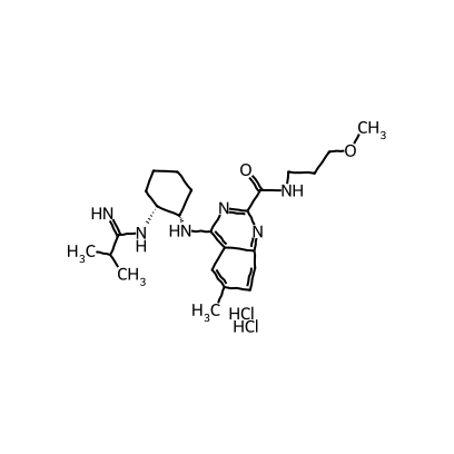 COCCCNC(=O)c1nc(N[C@H]2CCCC[C@H]2NC(=N)C(C)C)c2cc(C)ccc2n1.Cl.Cl